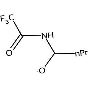 CCCC([O])NC(=O)C(F)(F)F